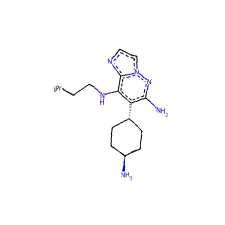 CC(C)CCNc1c2nccn2nc(N)c1[C@H]1CC[C@H](N)CC1